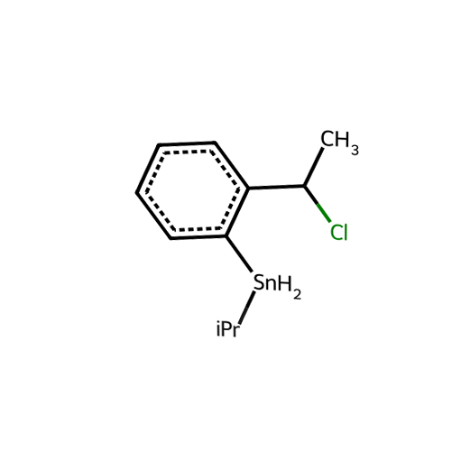 C[CH](C)[SnH2][c]1ccccc1C(C)Cl